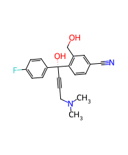 CN(C)CC#C[C@@](O)(c1ccc(F)cc1)c1ccc(C#N)cc1CO